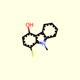 Cn1c2ccccc2c2c(O)ccc(F)c21